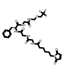 O=C(CCCCCN1C(=O)C=CC1=O)NCC(=O)NCC(=O)N[C@@H](Cc1ccccc1)C(=O)NCC(=O)NCOCC(F)(F)F